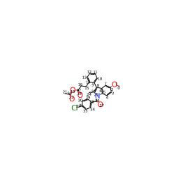 COc1ccc2c(c1)c(-c1ccccc1CCC(=O)OC(C)=O)c(C)n2C(=O)c1ccc(Cl)cc1